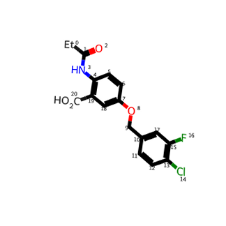 CCC(=O)Nc1ccc(OCc2ccc(Cl)c(F)c2)cc1C(=O)O